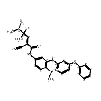 COc1ccc(NC(=O)C(C#N)=CC(C)(C)N(C)C)cc1Nc1nccc(Oc2ccccc2)n1